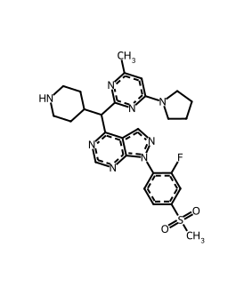 Cc1cc(N2CCCC2)nc(C(c2ncnc3c2cnn3-c2ccc(S(C)(=O)=O)cc2F)C2CCNCC2)n1